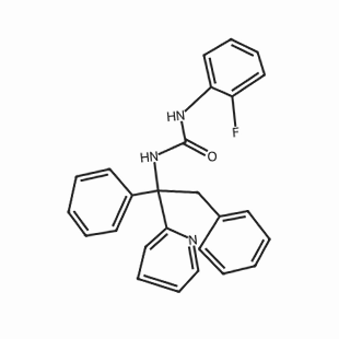 O=C(Nc1ccccc1F)NC(Cc1ccccc1)(c1ccccc1)c1ccccn1